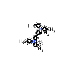 Cc1ccc(N(c2cccc(C)c2)c2ccc(-c3ccc(N(c4ccc(C)cc4)c4cccc(C)c4)c(C)c3)cc2C)cc1